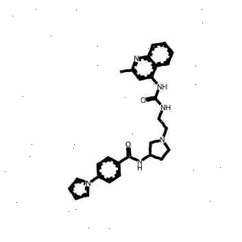 Cc1cc(NC(=O)NCCN2CCC(NC(=O)c3ccc(-n4cccc4)cc3)C2)c2ccccc2n1